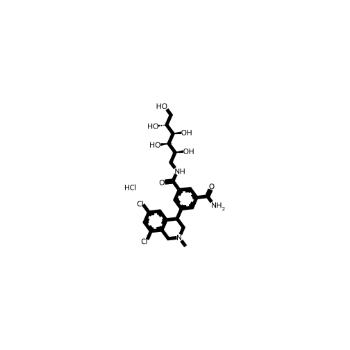 CN1Cc2c(Cl)cc(Cl)cc2C(c2cc(C(N)=O)cc(C(=O)NC[C@H](O)[C@@H](O)[C@H](O)[C@H](O)CO)c2)C1.Cl